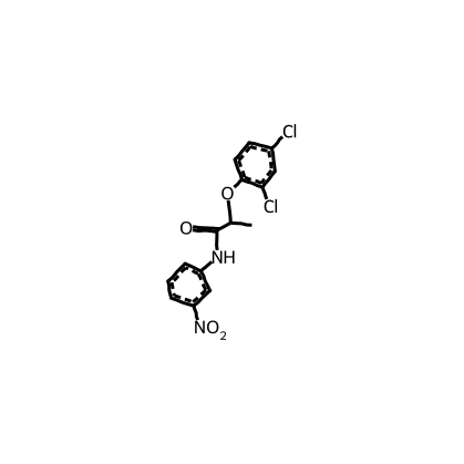 CC(Oc1ccc(Cl)cc1Cl)C(=O)Nc1cccc([N+](=O)[O-])c1